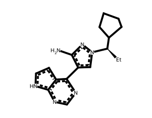 CC[C@H](C1CCCC1)n1cc(-c2ncnc3[nH]ccc23)c(N)n1